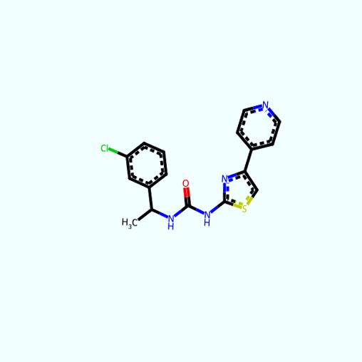 CC(NC(=O)Nc1nc(-c2ccncc2)cs1)c1cccc(Cl)c1